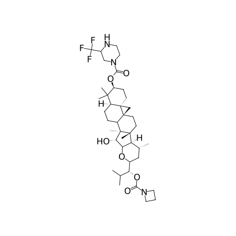 CC(C)[C@@H](OC(=O)N1CCC1)C1C[C@@H](C)[C@H]2C(O1)[C@H](O)[C@@]1(C)C3CC[C@H]4C(C)(C)[C@@H](OC(=O)N5CCNC(C(F)(F)F)C5)CC[C@@]45C[C@@]35CC[C@]21C